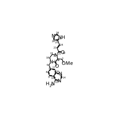 COC[C@H]1C(=O)N(Cc2ccc3c(N)ncnc3c2)CCN1C(=O)C=Cc1cnc[nH]1